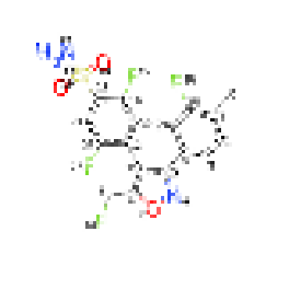 Cc1ccc(-c2noc(CF)c2-c2cc(F)c(S(N)(=O)=O)cc2F)cc1F